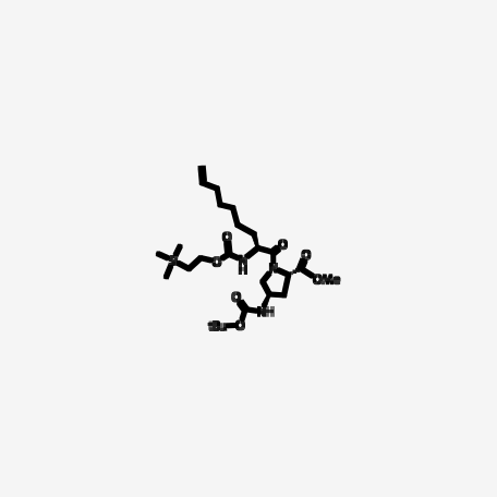 C=CCCCCC[C@H](NC(=O)OCC[Si](C)(C)C)C(=O)N1C[C@H](NC(=O)OC(C)(C)C)C[C@H]1C(=O)OC